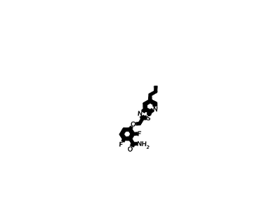 CCCc1cnc2sc(COc3ccc(F)c(C(N)=O)c3F)nc2c1